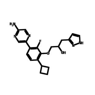 Nc1cnc(-c2ccc(C3CCC3)c(OCC(O)Cc3cc[nH]n3)c2F)cn1